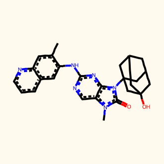 Cc1cc2ncccc2cc1Nc1ncc2c(n1)n(C13CC4CC(CC(O)(C4)C1)C3)c(=O)n2C